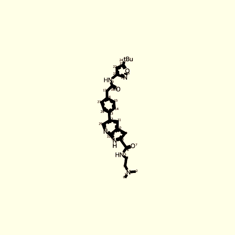 CN(C)CCNC(=O)c1cc2cc(-c3ccc(CC(=O)Nc4cc(C(C)(C)C)on4)cc3)cnc2[nH]1